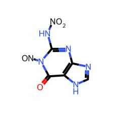 O=Nn1c(N[N+](=O)[O-])nc2nc[nH]c2c1=O